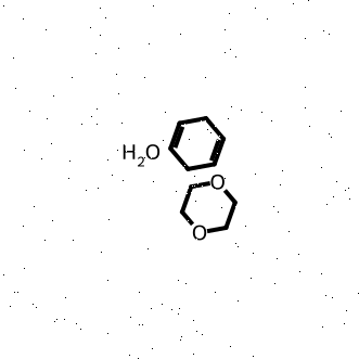 C1=CCC=CC1.C1COCCO1.O